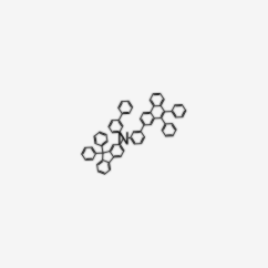 c1ccc(-c2cccc(N(c3cccc(-c4ccc5c(c4)c(-c4ccccc4)c(-c4ccccc4)c4ccccc45)c3)c3ccc4c(c3)C(c3ccccc3)(c3ccccc3)c3ccccc3-4)c2)cc1